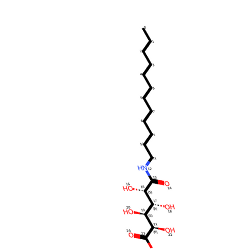 CCCCCCCCCCCCNC(=O)[C@@H](O)[C@H](O)[C@H](O)[C@@H](O)C(=O)O